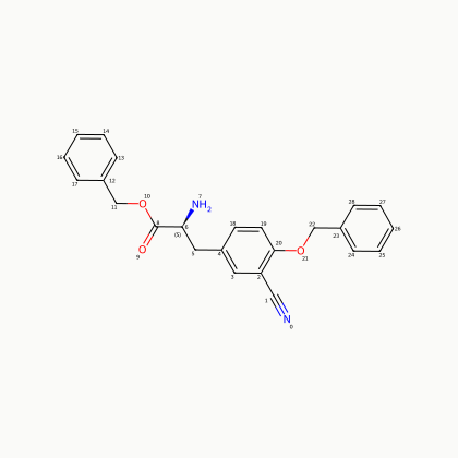 N#Cc1cc(C[C@H](N)C(=O)OCc2ccccc2)ccc1OCc1ccccc1